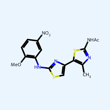 COc1ccc([N+](=O)[O-])cc1Nc1nc(-c2sc(NC(C)=O)nc2C)cs1